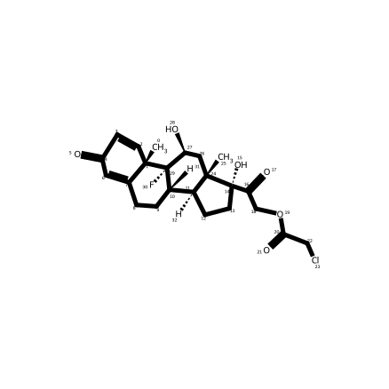 C[C@]12C=CC(=O)C=C1CC[C@H]1[C@@H]3CC[C@](O)(C(=O)COC(=O)CCl)[C@@]3(C)C[C@H](O)[C@@]12F